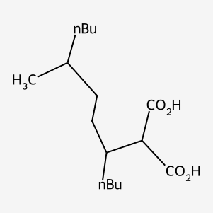 CCCCC(C)CCC(CCCC)C(C(=O)O)C(=O)O